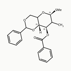 CS[C@@H]1OC2COC(c3ccccc3)O[C@H]2[C@H](OC(=O)c2ccccc2)C1C